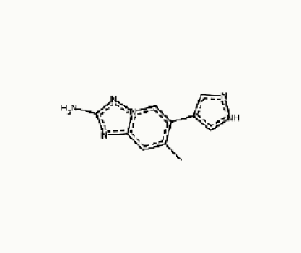 Cc1cc2nc(N)nn2cc1-c1cn[nH]c1